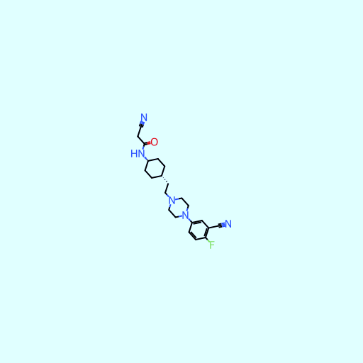 N#CCC(=O)N[C@H]1CC[C@H](CCN2CCN(c3ccc(F)c(C#N)c3)CC2)CC1